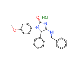 COc1ccc(N2C(=O)N=C(NCc3ccccc3)C2c2ccccc2)cc1.Cl